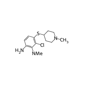 CNc1c(N)ccc(SC2CCN(C)CC2)c1Cl